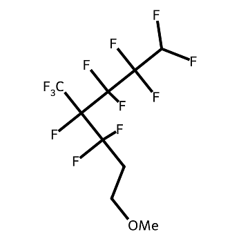 COCCC(F)(F)C(F)(C(F)(F)F)C(F)(F)C(F)(F)C(F)F